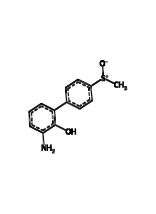 C[S+]([O-])c1ccc(-c2cccc(N)c2O)cc1